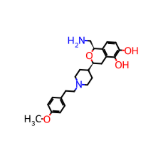 COc1ccc(CCN2CCC([C@@H]3Cc4c(ccc(O)c4O)[C@H](CN)O3)CC2)cc1